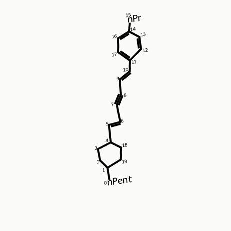 CCCCCC1CCC(C=CC#CC=Cc2ccc(CCC)cc2)CC1